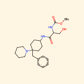 CC(C)(C)OC(=O)NC(CO)C(=O)NC1CCC(Cc2ccccc2)(N2CCCCC2)CC1